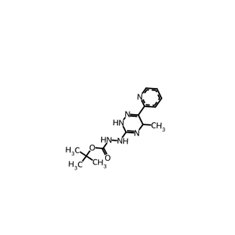 CC1N=C(NNC(=O)OC(C)(C)C)NN=C1c1ccccn1